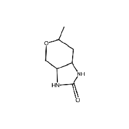 CC1CC2NC(=O)NC2CO1